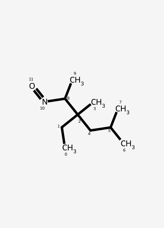 CCC(C)(CC(C)C)C(C)N=O